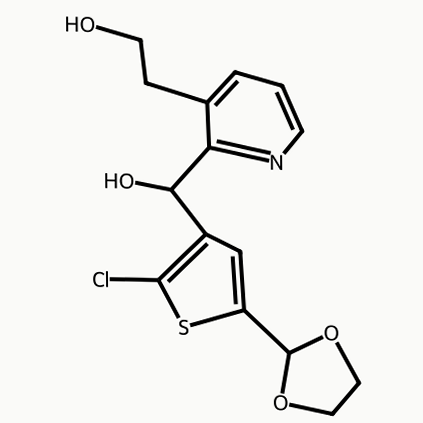 OCCc1cccnc1C(O)c1cc(C2OCCO2)sc1Cl